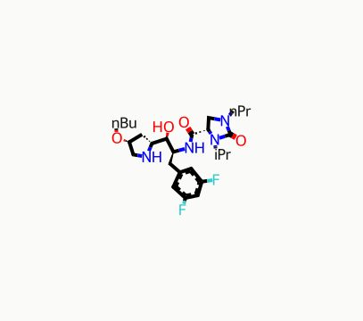 CCCCO[C@H]1CN[C@@H]([C@@H](O)[C@H](Cc2cc(F)cc(F)c2)NC(=O)[C@@H]2CN(CCC)C(=O)N2C(C)C)C1